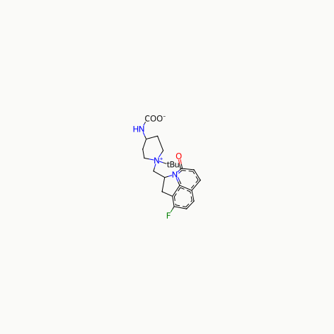 CC(C)(C)[N+]1(CC2Cc3c(F)ccc4ccc(=O)n2c34)CCC(NC(=O)[O-])CC1